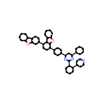 c1ccc(-c2cc(-c3ccc(-c4ccc(-c5ccc6c(c5)oc5ccccc56)c5c4oc4ccccc45)cc3)nc(-c3ccccc3-c3ccncc3)n2)cc1